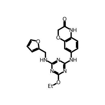 CCOc1nc(NCc2ccco2)nc(Nc2ccc3c(c2)OCC(=O)N3)n1